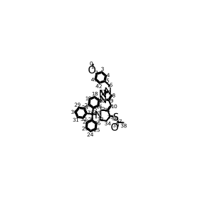 COc1ccc(Cn2cc(C=C3CN(C(c4ccccc4)(c4ccccc4)c4ccccc4)CCC3SC(C)=O)nn2)cc1